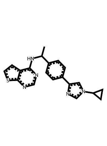 CC(Nc1ncnc2sccc12)c1ccc(-c2cn(C3CC3)cn2)cc1